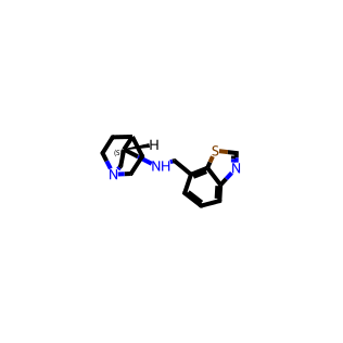 c1cc(CN[C@@H]2CN3CCC2CC3)c2scnc2c1